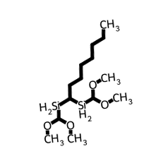 CCCCCCCC([SiH2]C(OC)OC)[SiH2]C(OC)OC